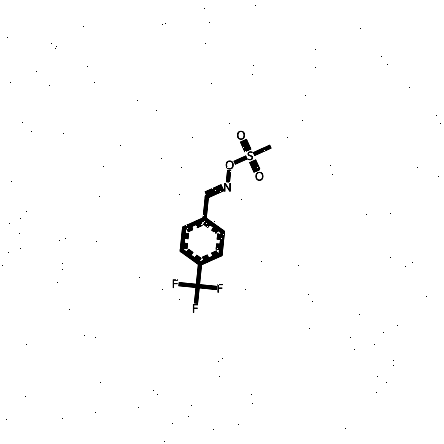 CS(=O)(=O)O/N=C/c1ccc(C(F)(F)F)cc1